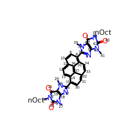 CCCCCCCCn1c(=O)c2c(nc(-c3ccc4ccc5c(-c6nc7c(c(=O)n(CCCCCCCC)c(=O)n7C)n6C)ccc6ccc3c4c65)n2C)n(C)c1=O